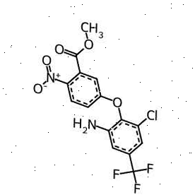 COC(=O)c1cc(Oc2c(N)cc(C(F)(F)F)cc2Cl)ccc1[N+](=O)[O-]